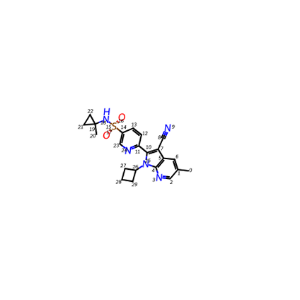 Cc1cnc2c(c1)c(C#N)c(-c1ccc(S(=O)(=O)NC3(C)CC3)cn1)n2C1CCC1